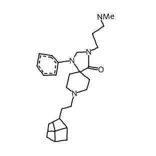 CNCCCN1CN(c2ccccc2)C2(CCN(CCC3CCC4CC3C4(C)C)CC2)C1=O